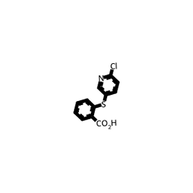 O=C(O)c1ccccc1Sc1ccc(Cl)nc1